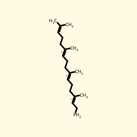 CC(C)=CCC/C(C)=C/CC/C(C)=C/CC/C(C)=C/CP